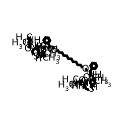 CN[C@@H](C)C(=O)N[C@H]1CCS[C@H]2CC(C)(C)[C@@H](C(=O)N[C@H](COCCCCCCCCCCCCOC[C@@H](NC(=O)[C@H]3N4C(=O)[C@@H](NC(=O)[C@H](C)NC)CCS[C@H]4CC3(C)C)c3ccccc3)c3ccccc3)N2C1=O